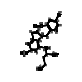 CCC[C@@H](CCO)Nc1nc(N)nc2cnn(Cc3ncc(Br)cc3OC)c12